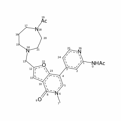 CC(=O)Nc1cc(-c2cn(C)c(=O)c3cc(CN4CCCN(C(C)=O)CC4)oc23)ccn1